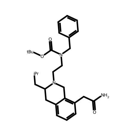 CC(C)CC1Cc2cccc(CC(N)=O)c2CN1CCN(Cc1ccccc1)C(=O)OC(C)(C)C